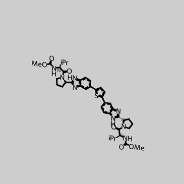 COC(=O)N[C@H](C(=O)N1CCCC1c1nc2cc(-c3ccc(-c4ccc5[nH]c([C@@H]6CCCN6C(=O)[C@@H](NC(=O)OC)C(C)C)nc5c4)s3)ccc2[nH]1)C(C)C